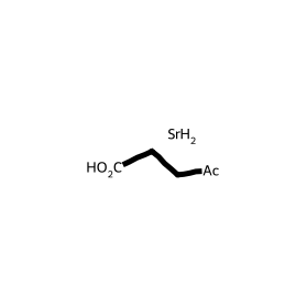 CC(=O)CCC(=O)O.[SrH2]